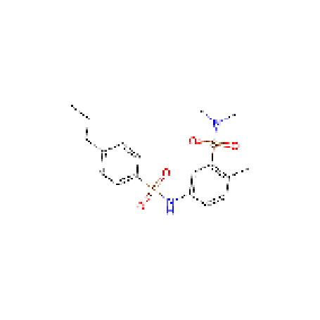 CCCc1ccc(S(=O)(=O)Nc2ccc(C)c(S(=O)(=O)N(C)C)c2)cc1